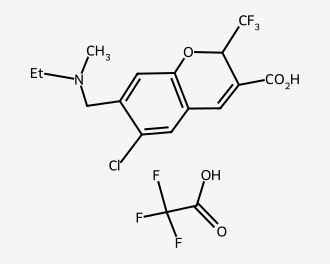 CCN(C)Cc1cc2c(cc1Cl)C=C(C(=O)O)C(C(F)(F)F)O2.O=C(O)C(F)(F)F